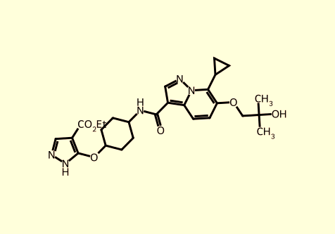 CCOC(=O)c1cn[nH]c1OC1CCC(NC(=O)c2cnn3c(C4CC4)c(OCC(C)(C)O)ccc23)CC1